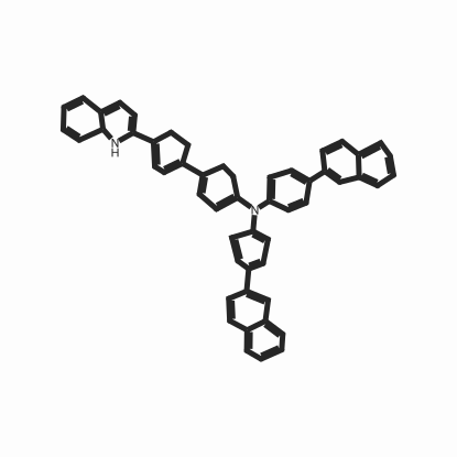 C1=CC2=CC=C(C3=CC=C(C4=CC=C(N(c5ccc(-c6ccc7ccccc7c6)cc5)c5ccc(-c6ccc7ccccc7c6)cc5)CC4)CC3)NC2C=C1